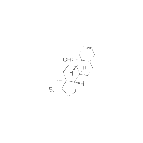 CC[C@H]1CC[C@H]2[C@@H]3CCC4CC=CC[C@]4(C=O)[C@H]3CC[C@]12C